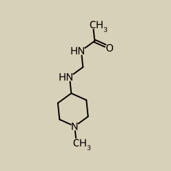 CC(=O)NCNC1CCN(C)CC1